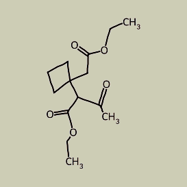 CCOC(=O)CC1(C(C(C)=O)C(=O)OCC)CCC1